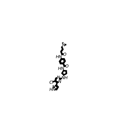 CN(C)CC=CC(=O)Nc1ccc(C(=O)N[C@H]2CC[C@@H](Nc3ncc(Cl)c(-c4cc[nH]n4)n3)C2)cc1